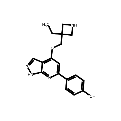 CCC1(COc2cc(-c3ccc(O)cc3)nc3[nH]ncc23)CNC1